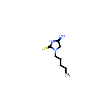 CCCCCN1CC(=N)NC1=S